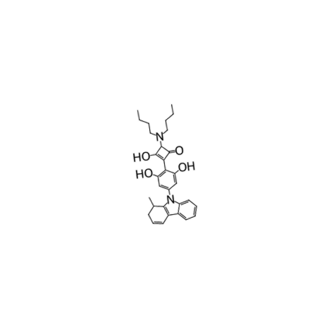 CCCCN(CCCC)C1C(=O)C(c2c(O)cc(-n3c4c(c5ccccc53)C=CCC4C)cc2O)=C1O